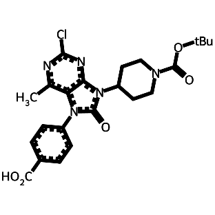 Cc1nc(Cl)nc2c1n(-c1ccc(C(=O)O)cc1)c(=O)n2C1CCN(C(=O)OC(C)(C)C)CC1